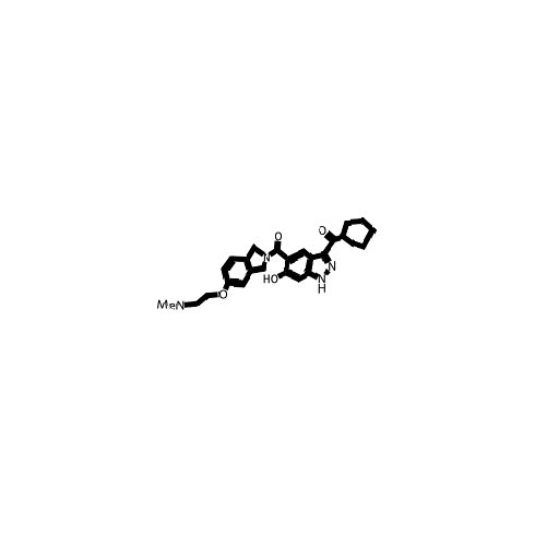 CNCCOc1ccc2c(c1)CN(C(=O)c1cc3c(C(=O)C4CCCCC4)n[nH]c3cc1O)C2